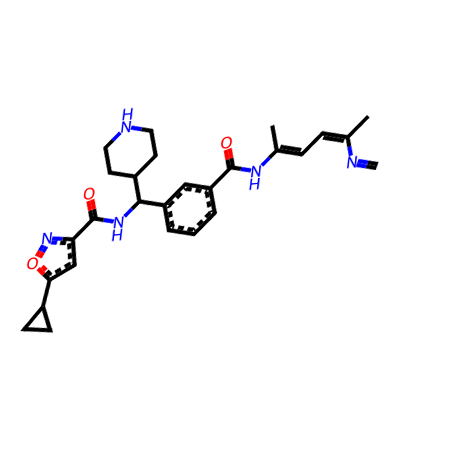 C=N/C(C)=C\C=C(/C)NC(=O)c1cccc(C(NC(=O)c2cc(C3CC3)on2)C2CCNCC2)c1